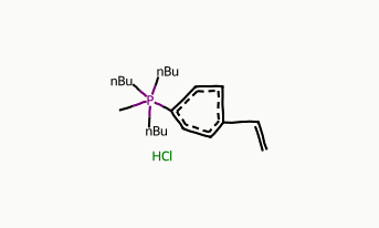 C=Cc1ccc(P(C)(CCCC)(CCCC)CCCC)cc1.Cl